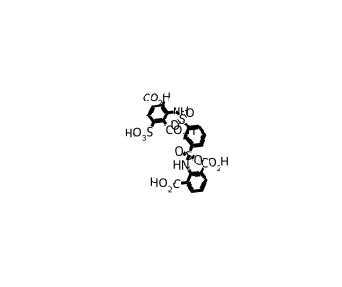 O=C(O)c1cccc(C(=O)O)c1NS(=O)(=O)c1cccc(S(=O)(=O)Nc2c(C(=O)O)ccc(S(=O)(=O)O)c2C(=O)O)c1